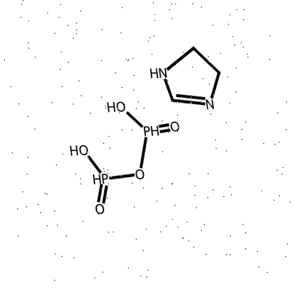 C1=NCCN1.O=[PH](O)O[PH](=O)O